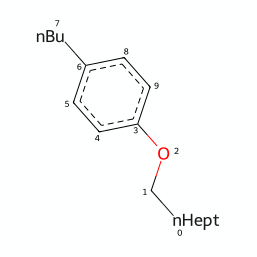 CCCCCCCCOc1ccc(CCCC)cc1